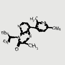 CCCCC(CC)n1c(=O)c(C)nc2c(-c3ccc(OC)nc3C)ccnc21